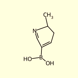 CC1CC=C(B(O)O)C=N1